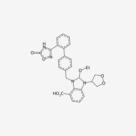 CCOC1N(Cc2ccc(-c3ccccc3-c3noc(=O)[nH]3)cc2)c2c(C(=O)O)cccc2N1C1COOC1